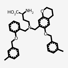 Cc1cccc(COc2ccccc2CN(CC[C@H](N)C(=O)O)Cc2cc3c(cc2OCc2cccc(C)c2)CCCO3)c1